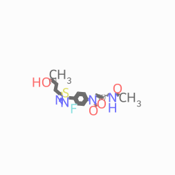 CC(=O)NC[C@H]1CN(c2ccc(-c3nnc(CC[C@H](C)O)s3)c(F)c2)C(=O)O1